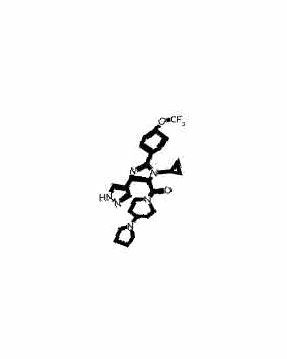 O=C(c1c(-c2cn[nH]c2)nc(-c2ccc(OC(F)(F)F)cc2)n1C1CC1)N1CCC(N2CCCC2)CC1